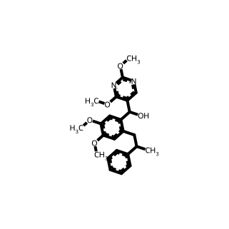 COc1ncc(C(O)c2cc(OC)c(OC)cc2CC(C)c2ccccc2)c(OC)n1